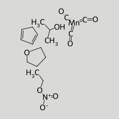 C1=CCC=C1.C1CCOC1.CC(C)O.CCO[N+](=O)[O-].O=[C]=[Mn](=[C]=O)=[C]=O